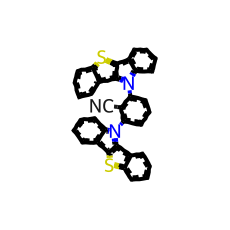 N#Cc1c(-n2c3ccccc3c3sc4ccccc4c32)cccc1-n1c2ccccc2c2sc3ccccc3c21